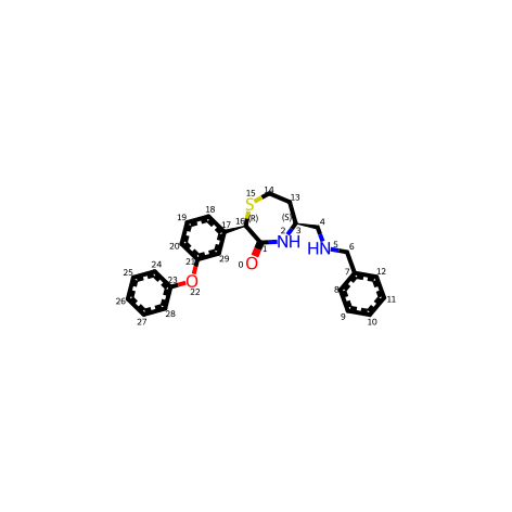 O=C1N[C@H](CNCc2ccccc2)CCS[C@@H]1c1cccc(Oc2ccccc2)c1